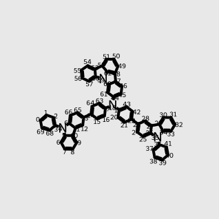 c1ccc(-n2c3ccccc3c3cc(-c4ccc(N(c5ccc(-c6ccc7c(c6)c6ccccc6n7-c6ccccc6)cc5)c5ccc6c7cccc8c9ccccc9n(c6c5)c87)cc4)ccc32)cc1